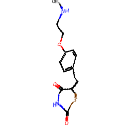 O=CNCCOc1ccc(CC2SC(=O)NC2=O)cc1